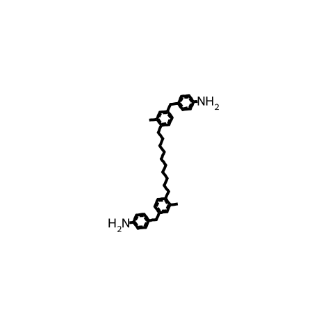 Cc1cc(Cc2ccc(N)cc2)ccc1CCCCCCCCCCc1ccc(Cc2ccc(N)cc2)cc1C